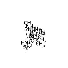 CCNC(=S)NC[C@@H](NC(=O)[C@@]1(NC(=O)[C@@H](NC(=O)Cc2ccccc2F)C(C)CC)CCc2[nH]c3c(C(F)(F)F)cccc3c2C1)C(C)CC